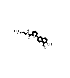 COCCNC(=O)c1cccc(-c2ccc3c(C=O)c(O)ccc3c2)n1